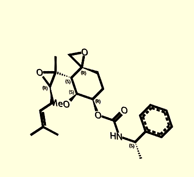 CO[C@H]1[C@H](C2(C)O[C@@H]2CC=C(C)C)[C@]2(CC[C@H]1OC(=O)N[C@@H](C)c1ccccc1)CO2